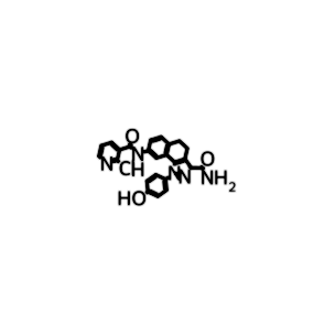 NC(=O)c1nn(-c2ccc(O)cc2)c2c1CCc1ccc(NC(=O)c3cccnc3Cl)cc1-2